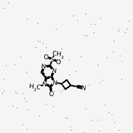 Cn1c(=O)n(C2CC(C#N)C2)c2nc(S(C)(=O)=O)ncc21